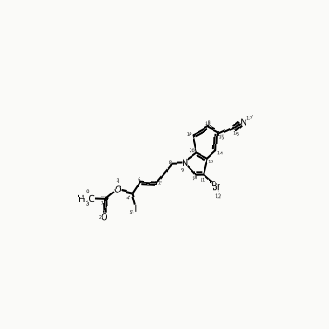 CC(=O)OC(I)C=CCn1cc(Br)c2cc(C#N)ccc21